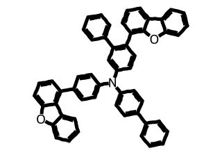 c1ccc(-c2ccc(N(c3ccc(-c4cccc5oc6ccccc6c45)cc3)c3ccc(-c4cccc5c4oc4ccccc45)c(-c4ccccc4)c3)cc2)cc1